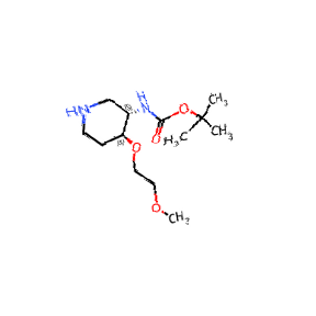 COCCO[C@H]1CCNC[C@@H]1NC(=O)OC(C)(C)C